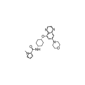 Cn1cccc1C(=O)N[C@H]1CC[C@@H](Oc2cc(N3CCOCC3)cc3nccnc23)CC1